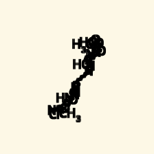 CC[C@@]1(O)C(=O)OCc2c1cc1n(c2=O)Cc2cc3c(CN4CCN(CCCCCCC5CCN(c6ccc(C(=O)N[C@H]7CC[C@H](Oc8ccc(C#N)c(Cl)c8C)CC7)nn6)CC5)CC4)c(O)ccc3nc2-1